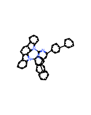 c1ccc(-c2ccc(-c3cc(-c4ccccc4)nc(-n4c5ccccc5c5ccc6c7ccccc7n(-c7cccc(-c8ccccc8)c7)c6c54)n3)cc2)cc1